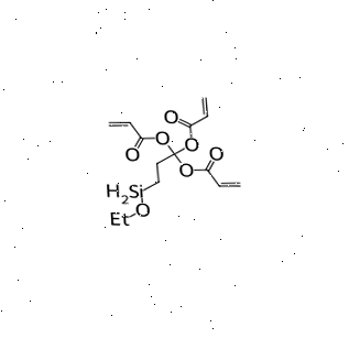 C=CC(=O)OC(CC[SiH2]OCC)(OC(=O)C=C)OC(=O)C=C